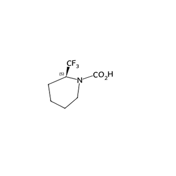 O=C(O)N1CCCC[C@H]1C(F)(F)F